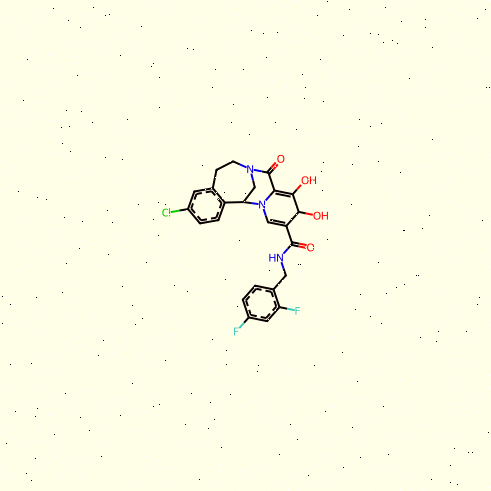 O=C(NCc1ccc(F)cc1F)C1=CN2C(=C(O)C1O)C(=O)N1CCc3cc(Cl)ccc3C2C1